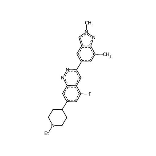 CCN1CCC(c2cc(F)c3cc(-c4cc(C)c5nn(C)cc5c4)nnc3c2)CC1